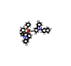 c1ccc([P@]2c3ccccc3C3(c4ccccc4-n4c5ccccc5c5cccc3c54)c3ccc(-c4ccc5c(c4)c4ccccc4n5-c4ccc5ccccc5c4)cc32)cc1